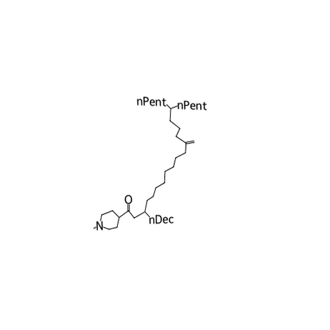 C=C(CCCCCCCCC(CCCCCCCCCC)CC(=O)C1CCN(C)CC1)CCCC(CCCCC)CCCCC